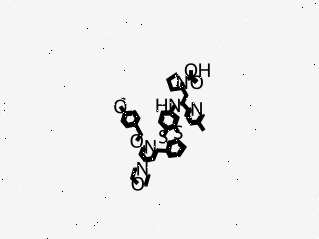 COc1ccc(COc2cc(N3CCOCC3)cc(-c3cccc4c3Sc3ccc(NC(CC5CCCN5C(=O)O)c5ccc(C)cn5)cc3S4)n2)cc1